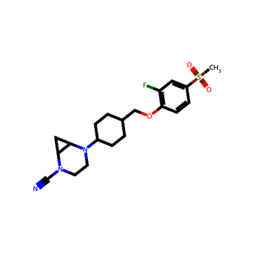 CS(=O)(=O)c1ccc(OCC2CCC(N3CCN(C#N)C4CC43)CC2)c(F)c1